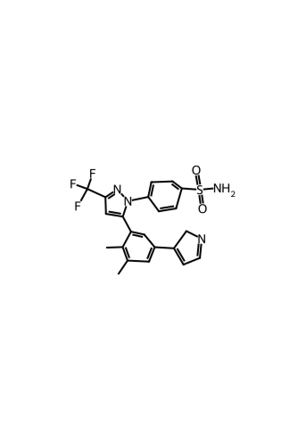 Cc1cc(C2=CC=NC2)cc(-c2cc(C(F)(F)F)nn2-c2ccc(S(N)(=O)=O)cc2)c1C